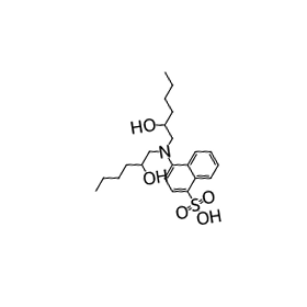 CCCCC(O)CN(CC(O)CCCC)c1ccc(S(=O)(=O)O)c2ccccc12